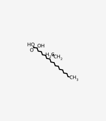 C=C.CCCCCCCCCCCCCCCCC(O)C(=O)O